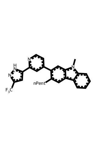 CCCCCc1cc2c3ccccc3n(C)c2cc1-c1ccnc(-c2cc(C(F)(F)F)n[nH]2)c1